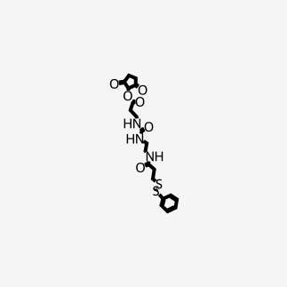 O=C(CCSSc1ccccc1)NCCNC(=O)NCCC(=O)OC1C(=O)CCC1=O